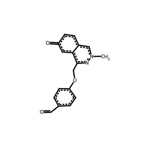 Cn1cc2ccc(=O)cc-2c(COc2ccc(C=O)cc2)n1